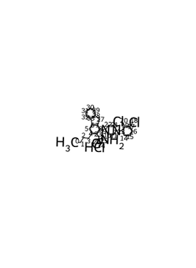 CCCCc1cc2c(c(N3CCN(c4cccc(Cl)c4Cl)CC3)c1C(N)=O)Cc1ccccc1-2.Cl